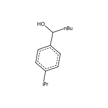 CCCCC(O)c1ccc(C(C)C)cc1